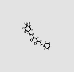 O=C(CCc1ccccc1)CC(=O)CCc1ccc(O)cc1